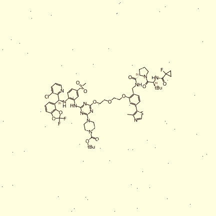 Cc1ncsc1-c1ccc(CNC(=O)[C@@H]2CCCN2C(=O)[C@@H](NC(=O)C2(F)CC2)C(C)(C)C)c(OCCOCCOc2nc(Nc3cc(S(C)(=O)=O)ccc3N[C@@H](c3cccc4c3OC(F)(F)O4)c3ncccc3Cl)nc(N3CCN(C(=O)OC(C)(C)C)CC3)n2)c1